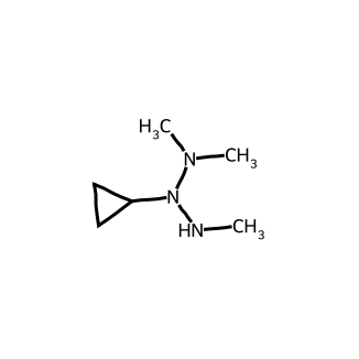 CNN(C1CC1)N(C)C